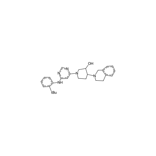 CC(C)(C)c1ccccc1Nc1cc(N2CCC(N3CCc4ccccc4C3)C(O)C2)ncn1